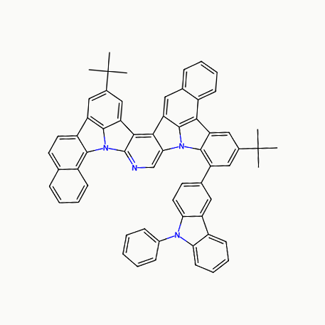 CC(C)(C)c1cc(-c2ccc3c(c2)c2ccccc2n3-c2ccccc2)c2c(c1)c1c3ccccc3cc3c4c5c6cc(C(C)(C)C)cc7c8ccc9ccccc9c8n(c5ncc4n2c31)c76